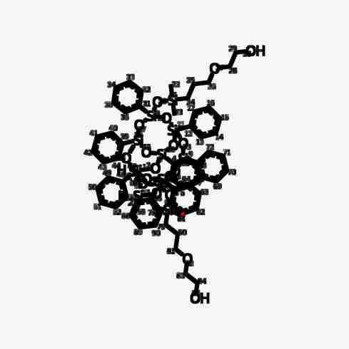 C[SiH2]O[Si]1(c2ccccc2)O[Si]2(c3ccccc3)O[Si](O[Si](C)(C)CCCOCCO)(c3ccccc3)O[Si](c3ccccc3)(O1)O[Si]1(c3ccccc3)O[Si](O[SiH2]C)(c3ccccc3)O[Si](c3ccccc3)(O[Si](O[Si](C)(C)CCCOCCO)(c3ccccc3)O1)O2